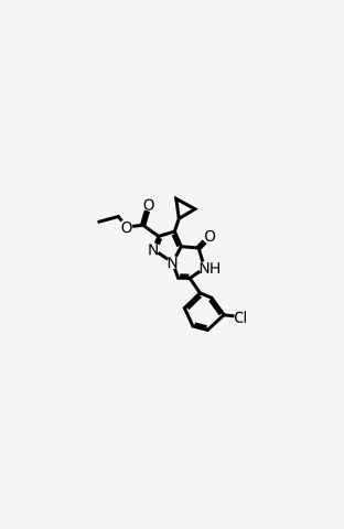 CCOC(=O)c1nn2cc(-c3cccc(Cl)c3)[nH]c(=O)c2c1C1CC1